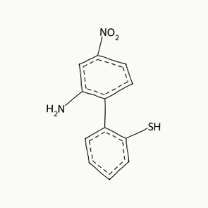 Nc1cc([N+](=O)[O-])ccc1-c1ccccc1S